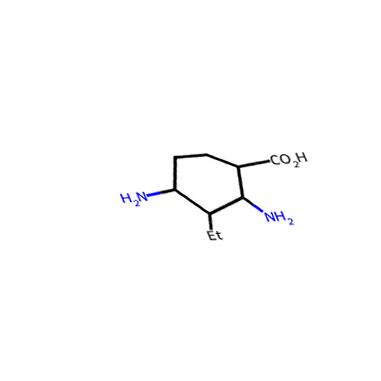 CCC1C(N)CCC(C(=O)O)C1N